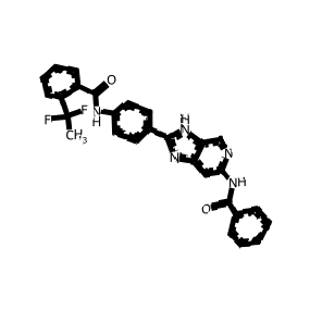 CC(F)(F)c1ccccc1C(=O)Nc1ccc(-c2nc3cc(NC(=O)c4ccccc4)ncc3[nH]2)cc1